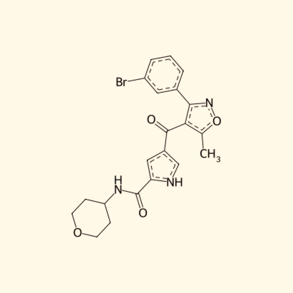 Cc1onc(-c2cccc(Br)c2)c1C(=O)c1c[nH]c(C(=O)NC2CCOCC2)c1